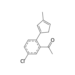 CC(=O)c1cc(Cl)ccc1C1=CC(C)=CC1